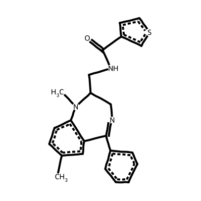 Cc1ccc2c(c1)C(c1ccccc1)=NCC(CNC(=O)c1ccsc1)N2C